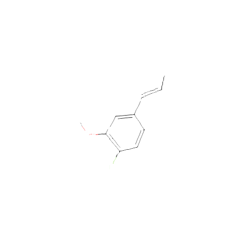 C/C=C/c1ccc(F)c(OC)c1